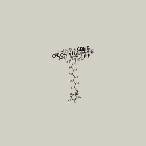 C[C@]12CCC(=O)C=C1C[C@@H](CCCCCCCCSc1cccs1)[C@@H]1[C@@H]2CC[C@@]2(C)[C@H]1CC[C@@]2(O)C(F)(F)C(F)(F)F